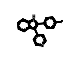 Fc1ccc(-c2[nH]c3ccccc3c2-c2ccncc2)cc1